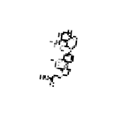 Cc1cc(N2CCOc3ncnc(N)c3C2=O)ccc1N1CCN(CCC(=O)O)C1=O